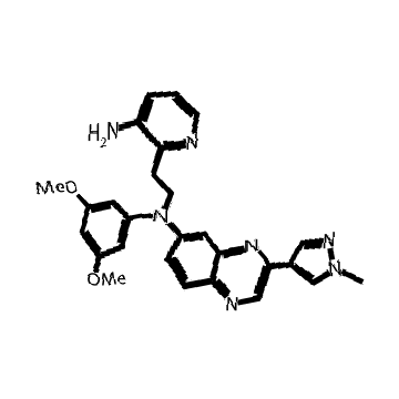 COc1cc(OC)cc(N(CCc2ncccc2N)c2ccc3ncc(-c4cnn(C)c4)nc3c2)c1